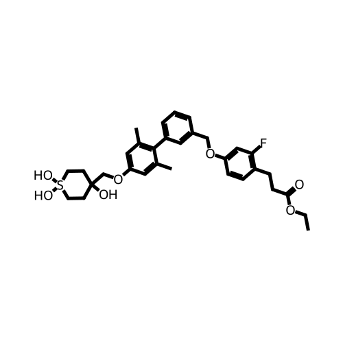 CCOC(=O)CCc1ccc(OCc2cccc(-c3c(C)cc(OCC4(O)CCS(O)(O)CC4)cc3C)c2)cc1F